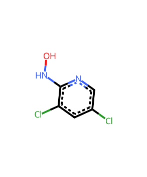 ONc1ncc(Cl)cc1Cl